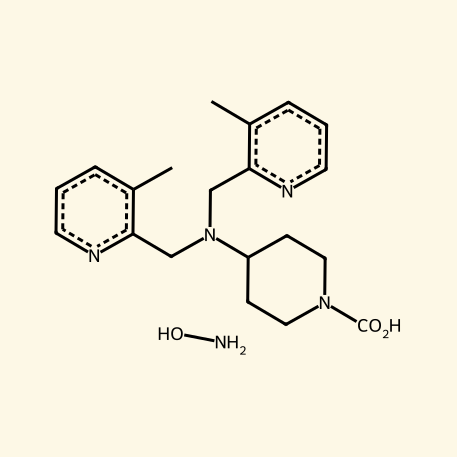 Cc1cccnc1CN(Cc1ncccc1C)C1CCN(C(=O)O)CC1.NO